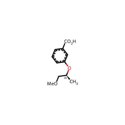 COC[C@H](C)Oc1cccc(C(=O)O)c1